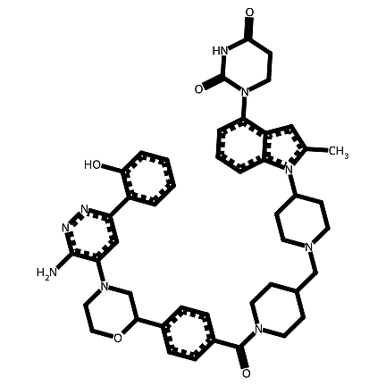 Cc1cc2c(N3CCC(=O)NC3=O)cccc2n1C1CCN(CC2CCN(C(=O)c3ccc(C4CN(c5cc(-c6ccccc6O)nnc5N)CCO4)cc3)CC2)CC1